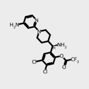 Nc1ccnc(N2CCC([C@@H](N)c3cc(Cl)c(Cl)cc3OC(=O)C(F)(F)F)CC2)c1